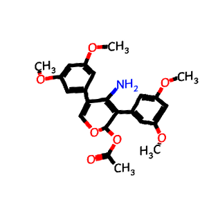 COc1cc(OC)cc(C2=COC(OC(C)=O)C(c3cc(OC)cc(OC)c3)=C2N)c1